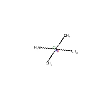 CCCCCCCCCCCCCCCCC(Cl)(CCCCCCCCCCCCCCCC)C(CCCCCCCCCCCCCCCC)(CCCCCCCCCCCCCCCC)N=O